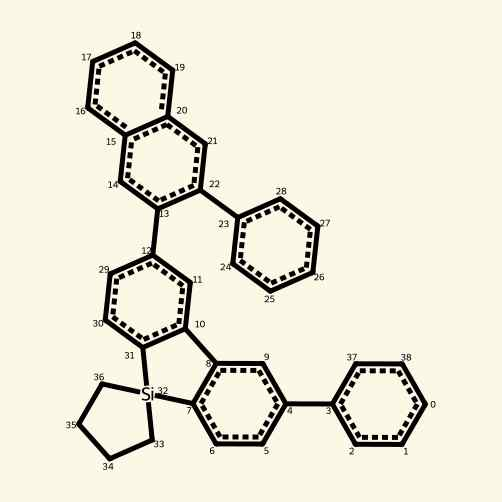 c1ccc(-c2ccc3c(c2)-c2cc(-c4cc5ccccc5cc4-c4ccccc4)ccc2[Si]32CCCC2)cc1